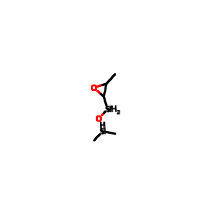 CC1OC1[SiH2]O[SiH](C)C